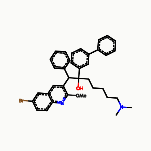 COc1nc2ccc(Br)cc2cc1C(c1ccccc1)C(O)(CCCCCN(C)C)c1cccc(-c2ccccc2)c1